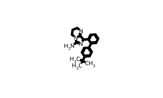 CC(C)(C)c1ccc(-c2ccccc2C2N=C(N)N3CCCN=C23)cc1